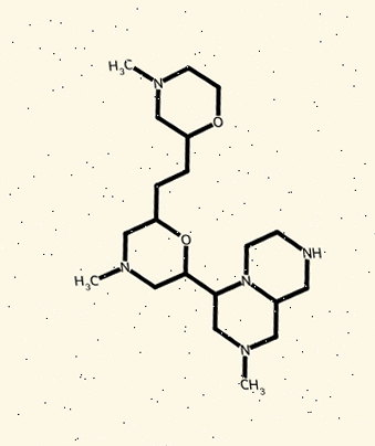 CN1CCOC(CCC2CN(C)CC(C3CN(C)CC4CNCCN43)O2)C1